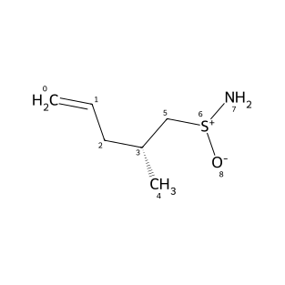 C=CC[C@@H](C)C[S+](N)[O-]